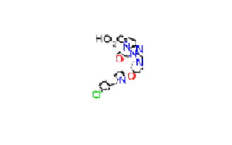 O=C(O)c1ccc2nc(CN3CCC(Oc4cccc(Cc5cccc(Cl)c5)n4)CC3)n(CC3CCO3)c2n1